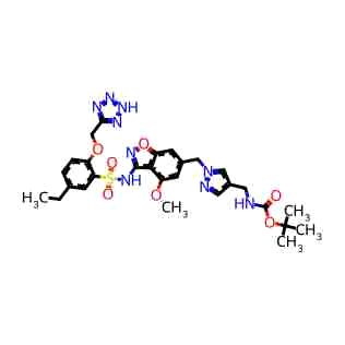 CCc1ccc(OCc2nn[nH]n2)c(S(=O)(=O)Nc2noc3cc(Cn4cc(CNC(=O)OC(C)(C)C)cn4)cc(OC)c23)c1